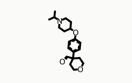 CC(C)N1CCC(Oc2ccc(C3(C=O)CCOCC3)cc2)CC1